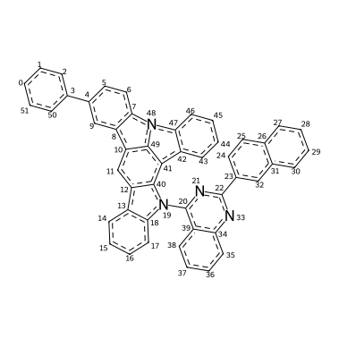 c1ccc(-c2ccc3c(c2)c2cc4c5ccccc5n(-c5nc(-c6ccc7ccccc7c6)nc6ccccc56)c4c4c5ccccc5n3c24)cc1